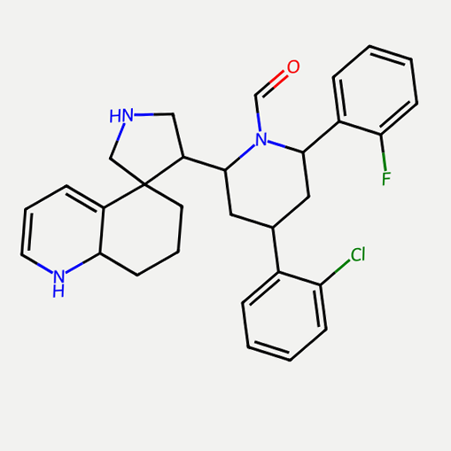 O=CN1C(c2ccccc2F)CC(c2ccccc2Cl)CC1C1CNCC12CCCC1NC=CC=C12